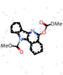 COC(=O)Oc1nc2c3ccccc3n(C(=O)OC)c2c2ccccc12